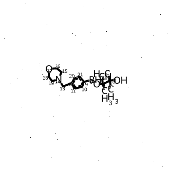 CC(C)(O)C(C)(C)OBc1ccc(CN2CCOCC2)cc1